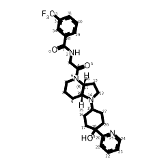 O=C(NCC(=O)N1CCC[C@@H]2[C@H]1CCN2C1CCC(O)(c2ccccn2)CC1)c1cccc(C(F)(F)F)c1